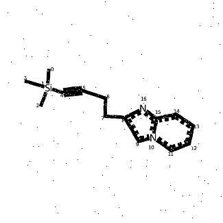 C[Si](C)(C)C#CCCc1cn2ccccc2n1